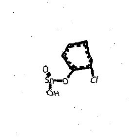 [O]=[Sn]([OH])[O]c1ccccc1Cl